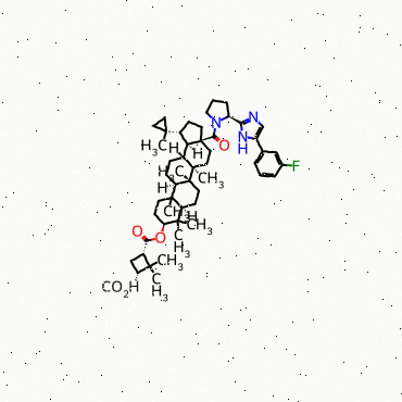 CC1([C@@H]2CC[C@]3(C(=O)N4CCC[C@H]4c4ncc(-c5cccc(F)c5)[nH]4)CC[C@]4(C)[C@H](CC[C@@H]5C6(C)CC[C@H](OC(=O)[C@H]7C[C@@H](C(=O)O)C7(C)C)C(C)(C)[C@@H]6CC[C@]54C)[C@@H]23)CC1